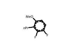 CCCc1c(OC)ccc(F)c1F